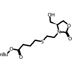 CCCCOC(=O)CCCSCCN1C(=O)OC[C@@H]1CO